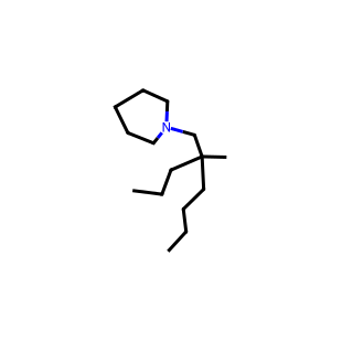 CCCCC(C)(CCC)CN1CCCCC1